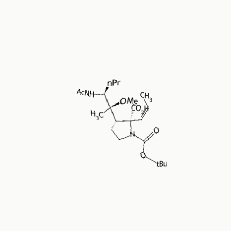 C/C=C\[C@]1(C(=O)O)[C@@H]([C@@](C)(OC)[C@H](CCC)NC(C)=O)CCN1C(=O)OC(C)(C)C